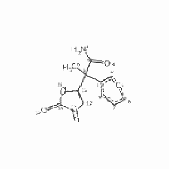 CC(C(N)=O)(c1ccccc1)C1CNC(=O)O1